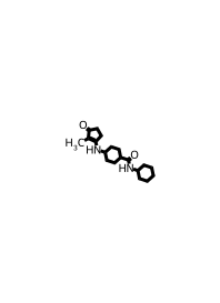 CC1=C(NC2CCC(C(=O)NC3CCCCC3)CC2)CCC1=O